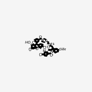 COc1ccc2c(c1)c(CC(=O)NCCN1CCN(C(=O)c3ccc(C(=O)O)c(-c4c5ccc(=O)cc-5oc5cc(O)ccc45)c3)CC1)c(C)n2C(=O)c1ccc(Cl)cc1